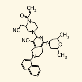 C=CC(=O)N1CCN(c2nc(N3CC(C)OC(C)C3)c3c(c2C#N)CN(c2cccc4ccccc24)CC3)CC1CC#N